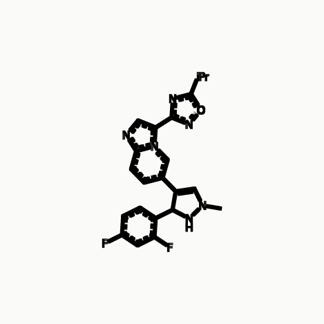 CC(C)c1nc(-c2cnc3ccc(C4=CN(C)NC4c4ccc(F)cc4F)cn23)no1